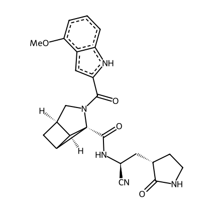 COc1cccc2[nH]c(C(=O)N3C[C@@H]4CC5[C@@H]4[C@]53C(=O)N[C@H](C#N)C[C@@H]3CCNC3=O)cc12